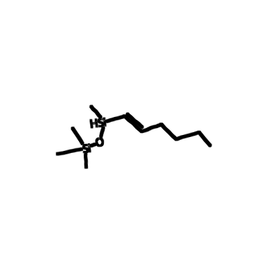 CCCC/C=C/[SiH](C)O[Si](C)(C)C